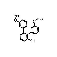 CC(C)(C)Oc1cccc(-c2cccc(S)c2-c2cccc(OC(C)(C)C)c2)c1